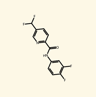 O=C(Nc1ccc(F)c(F)c1)c1ccc(C(F)F)cn1